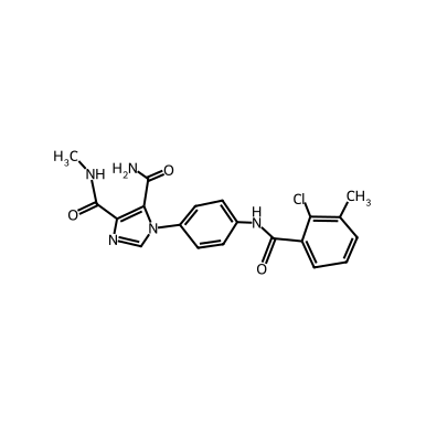 CNC(=O)c1ncn(-c2ccc(NC(=O)c3cccc(C)c3Cl)cc2)c1C(N)=O